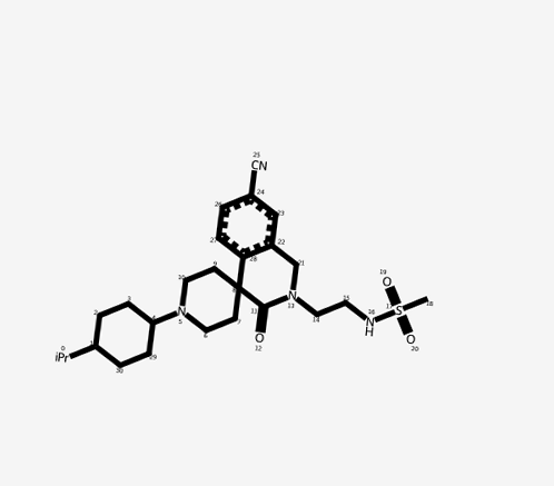 CC(C)C1CCC(N2CCC3(CC2)C(=O)N(CCNS(C)(=O)=O)Cc2cc(C#N)ccc23)CC1